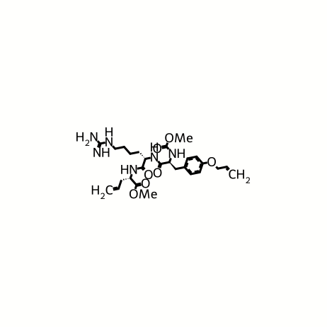 C=CCOc1ccc(C[C@H](NC(=O)OC)C(=O)N[C@@H](CCCCNC(=N)N)C(=O)N[C@@H](CC=C)C(=O)OC)cc1